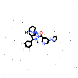 CN1C(c2cc(F)c(F)c(F)c2)C2=C([C@@H]3CCC[C@H](C2)N3)N1C(=O)c1cncc(N2CCCC2)c1